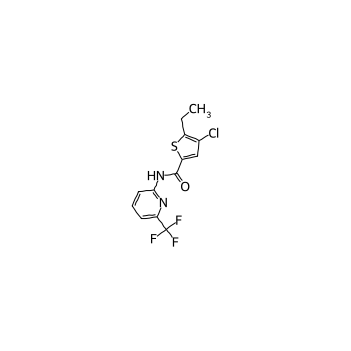 CCc1sc(C(=O)Nc2cccc(C(F)(F)F)n2)cc1Cl